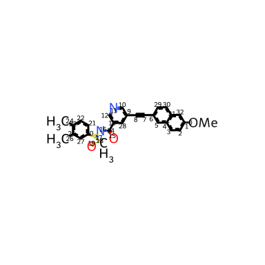 COc1ccc2cc(C#Cc3cncc(C(=O)N=S(C)(=O)c4ccc(C)c(C)c4)c3)ccc2c1